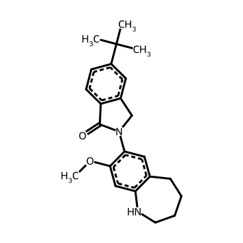 COc1cc2c(cc1N1Cc3cc(C(C)(C)C)ccc3C1=O)CCCCN2